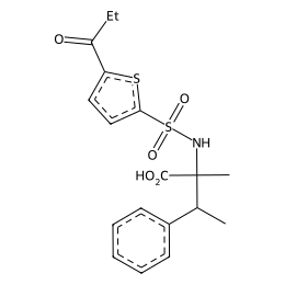 CCC(=O)c1ccc(S(=O)(=O)NC(C)(C(=O)O)C(C)c2ccccc2)s1